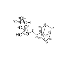 O=P(O)(O)OP(=O)(O)OCCC12CC3CC(CC(C3)C1)C2